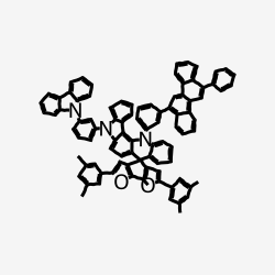 Cc1cc(C)cc(-c2cc3c(o2)-c2oc(-c4cc(C)cc(C)c4)cc2C32c3ccccc3N(c3cccc(-c4cc5c6ccccc6c(-c6ccccc6)cc5c5ccccc45)c3)c3c2ccc2c3c3ccccc3n2-c2cccc(-n3c4ccccc4c4ccccc43)c2)c1